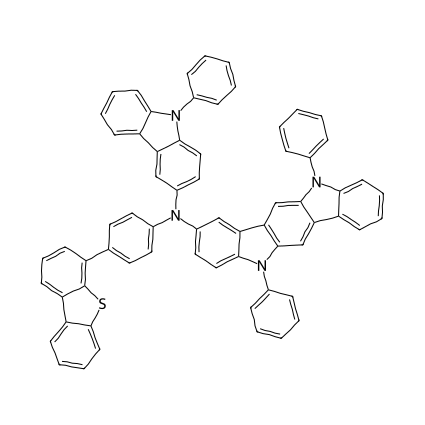 c1ccc(-n2c3ccccc3c3cc(N(c4ccc(-c5cccc6c5sc5ccccc56)cc4)c4ccc5c(c4)c4cc6c(cc4n5-c4ccccc4)c4ccccc4n6-c4ccccc4)ccc32)cc1